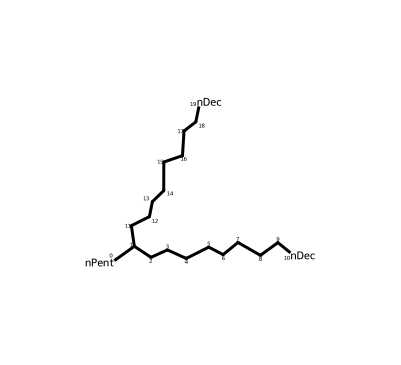 [CH2]CCCCC(CCCCCCCCCCCCCCCCCC)CCCCCCCCCCCCCCCCCC